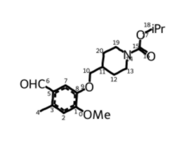 COc1cc(C)c(C=O)cc1OCC1CCN(C(=O)OC(C)C)CC1